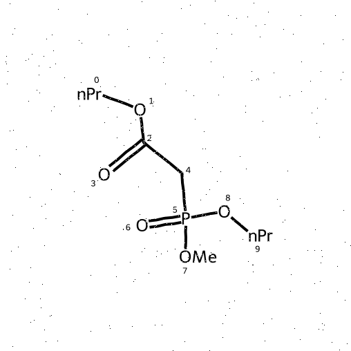 CCCOC(=O)CP(=O)(OC)OCCC